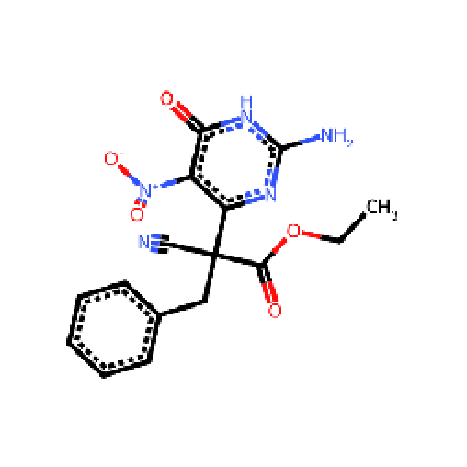 CCOC(=O)C(C#N)(Cc1ccccc1)c1nc(N)[nH]c(=O)c1[N+](=O)[O-]